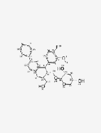 COc1cc(C2c3cc(-c4ccccc4)ccc3CC(CO)[C@H]2CO[C@@H]2OC[C@@H](O)C[C@H]2O)ccc1F